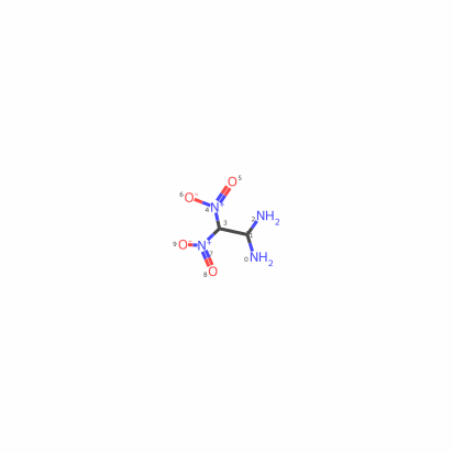 N[C](N)C([N+](=O)[O-])[N+](=O)[O-]